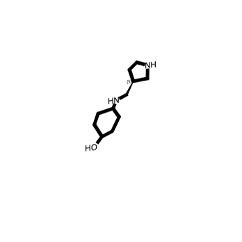 OC1CCC(NC[C@H]2CCNC2)CC1